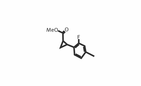 COC(=O)C1CC1c1ccc(C)cc1F